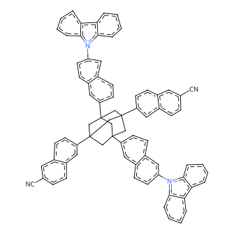 N#Cc1ccc2cc(C34CC5(c6ccc7cc(C#N)ccc7c6)CC(c6ccc7cc(-n8c9ccccc9c9ccccc98)ccc7c6)(C3)CC(c3ccc6cc(-n7c8ccccc8c8ccccc87)ccc6c3)(C4)C5)ccc2c1